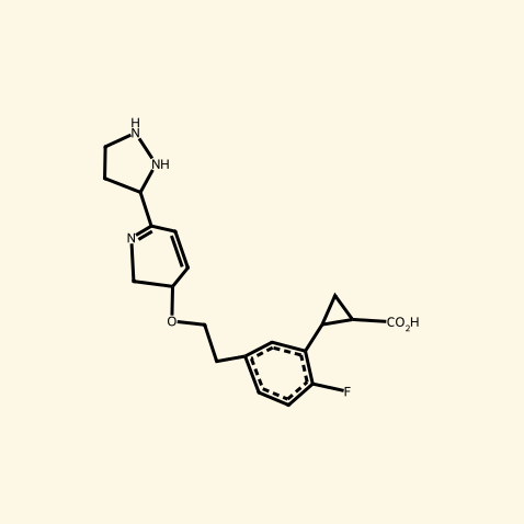 O=C(O)C1CC1c1cc(CCOC2C=CC(C3CCNN3)=NC2)ccc1F